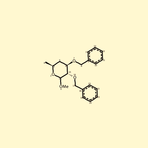 COC1O[C@@H](C)C[C@@H](OCc2ccccc2)[C@@H]1OCc1ccccc1